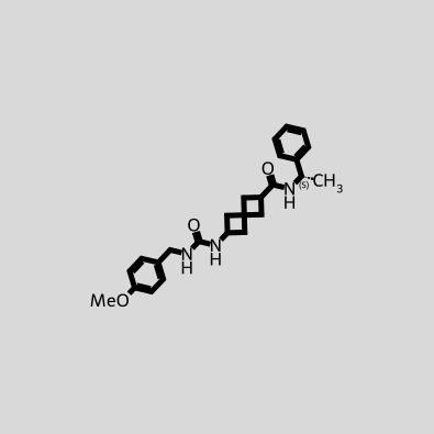 COc1ccc(CNC(=O)NC2CC3(C2)CC(C(=O)N[C@@H](C)c2ccccc2)C3)cc1